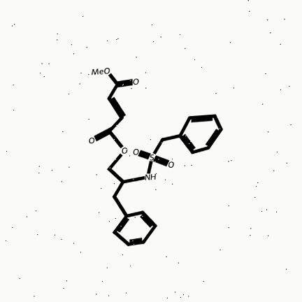 COC(=O)/C=C/C(=O)OCC(Cc1ccccc1)NS(=O)(=O)Cc1ccccc1